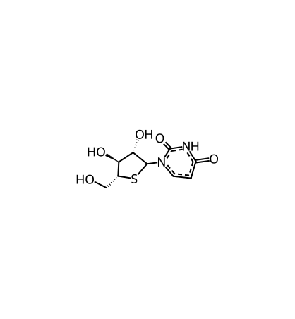 O=c1ccn(C2S[C@H](CO)[C@@H](O)[C@@H]2O)c(=O)[nH]1